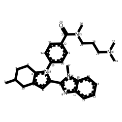 CC1CCc2c(cc(-c3nc4ccccc4n3C)n2-c2ccc(C(=O)N(C)CCCN(C)C)cc2)C1